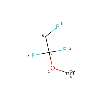 CC[CH]OC(F)(F)CF